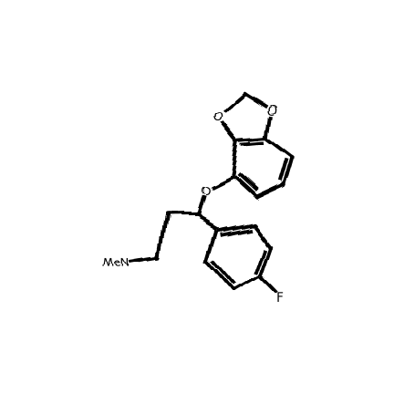 CNCCC(Oc1cccc2c1OCO2)c1ccc(F)cc1